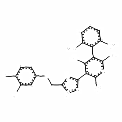 CCCCc1nc(O)c(-c2nnc(COc3ccc(C)c(F)c3)o2)c(O)c1-c1c(OC)cccc1OC